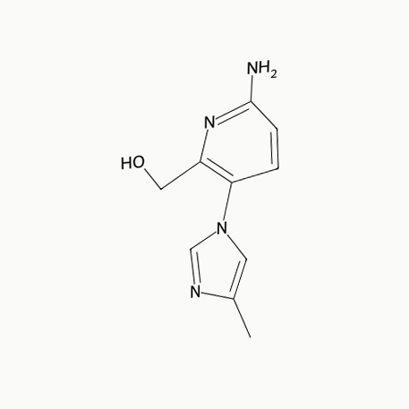 Cc1cn(-c2ccc(N)nc2CO)cn1